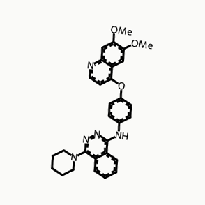 COc1cc2nccc(Oc3ccc(Nc4nnc(N5CCCCC5)c5ccccc45)cc3)c2cc1OC